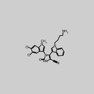 Cn1cc(-n2c(-c3cn(CCCCN)c4ccccc34)c(C#N)[nH]c2=O)c2cc(Cl)c(Cl)cc21